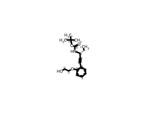 CC[C@H](C#Cc1ccccc1OCCO)NC(=O)OC(C)(C)C